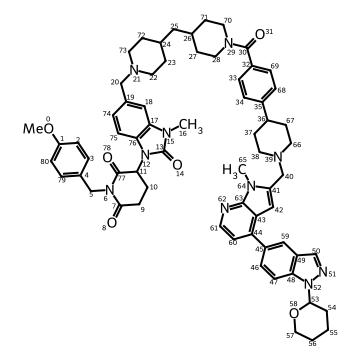 COc1ccc(CN2C(=O)CCC(n3c(=O)n(C)c4cc(CN5CCC(CC6CCN(C(=O)c7ccc(C8CCN(Cc9cc%10c(-c%11ccc%12c(cnn%12C%12CCCCO%12)c%11)ccnc%10n9C)CC8)cc7)CC6)CC5)ccc43)C2=O)cc1